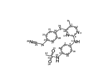 Cc1cnc(Nc2ccc(NS(C)(=O)=O)cc2)nc1Sc1ccc(CC#N)cc1